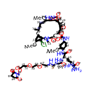 COc1cc(NC(=O)O[C@H]2CC(=O)N(C)c3cc(cc(OC)c3Cl)C/C(C)=C/C=C/[C@@H](OC)[C@@]3(O)C[C@H](OC(=O)N3)[C@@H](C)[C@@H]3O[C@@]23C)ccc1NC(=O)[C@H](CCCNC(N)=O)NC(=O)[C@@H](NC(=S)NCCOCCOCCC(=O)ON1C(=O)CCC1=O)C(C)C